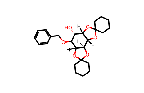 O[C@@H]1[C@@H]2OC3(CCCCC3)O[C@@H]2[C@H]2OC3(CCCCC3)O[C@@H]2[C@H]1OCc1ccccc1